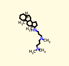 CN(C)CCCN(C)CCCN[C@H]1CCC2C3CC[C@H]4CCCC[C@]4(C)C3CC[C@@]21C